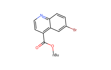 CCCCOC(=O)c1ccnc2ccc(Br)cc12